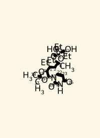 CC[C@H](CC(C)(CC)OP(=O)(O)C(O)(CC)CC)[C@H]1OC(C)(C)O[C@H]1n1ccc(=O)[nH]c1=O